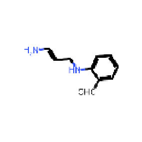 NC=CCNc1ccccc1C=O